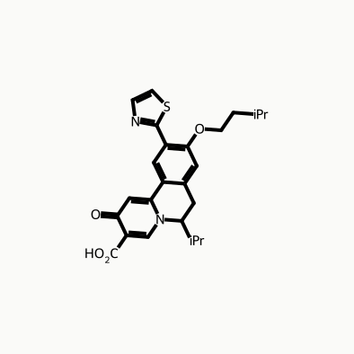 CC(C)CCOc1cc2c(cc1-c1nccs1)-c1cc(=O)c(C(=O)O)cn1C(C(C)C)C2